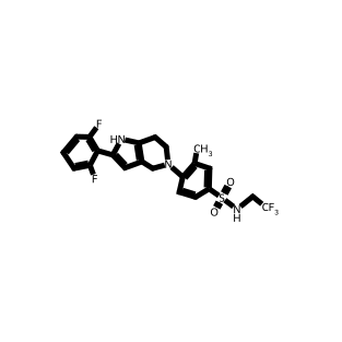 Cc1cc(S(=O)(=O)NCC(F)(F)F)ccc1N1CCc2[nH]c(-c3c(F)cccc3F)cc2C1